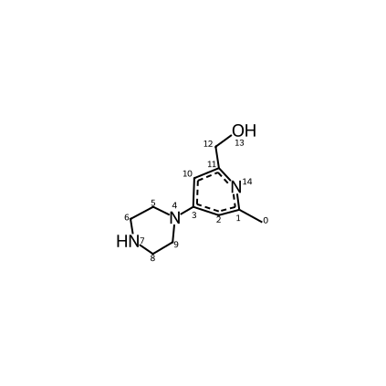 Cc1cc(N2CCNCC2)cc(CO)n1